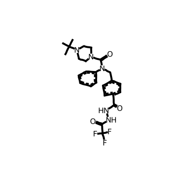 CC(C)(C)N1CCN(C(=O)N(Cc2ccc(C(=O)NNC(=O)C(F)(F)F)cc2)c2ccccc2)CC1